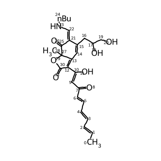 C/C=C/C=C/C=C/C(=O)/C=C(\O)C1=C2C=C(CC(O)CO)/C(=C/NCCCC)C(=O)C2(C)OC1=O